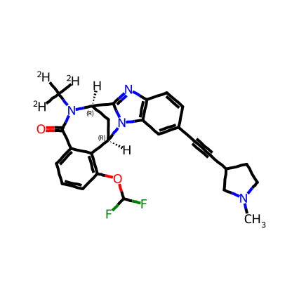 [2H]C([2H])([2H])N1C(=O)c2cccc(OC(F)F)c2[C@H]2C[C@@H]1c1nc3ccc(C#CC4CCN(C)C4)cc3n12